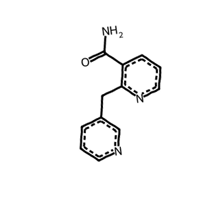 NC(=O)c1cccnc1Cc1cccnc1